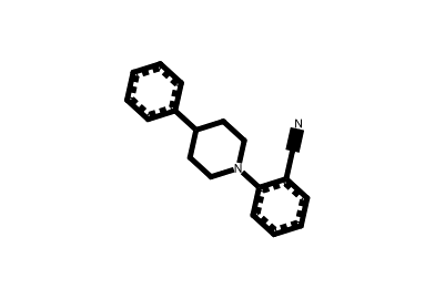 N#Cc1ccccc1N1CCC(c2ccccc2)CC1